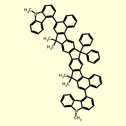 Cn1c2ccccc2c2c(-c3cc4c(c5ccccc35)-c3cc5c(cc3C4(C)C)-c3cc4c(cc3C5(c3ccccc3)c3ccccc3)-c3c(cc(-c5cccc6c5c5ccccc5n6C)c5ccccc35)C4(C)C)cccc21